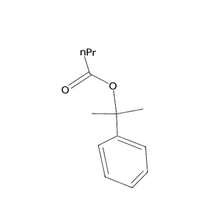 CCCC(=O)OC(C)(C)c1ccccc1